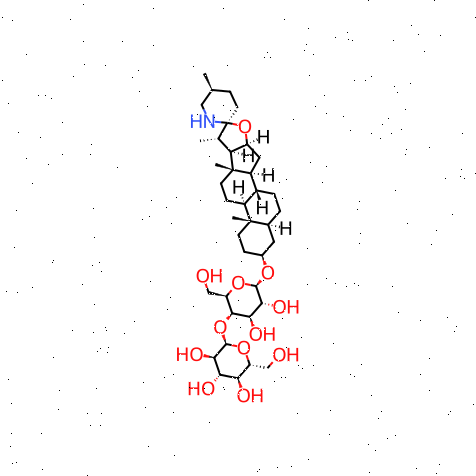 C[C@H]1CC[C@]2(NC1)O[C@H]1C[C@H]3[C@@H]4CC[C@H]5C[C@@H](O[C@@H]6O[C@H](CO)[C@H](O[C@H]7O[C@H](CO)[C@@H](O)[C@H](O)[C@H]7O)[C@H](O)[C@H]6O)CC[C@]5(C)[C@H]4CC[C@]3(C)[C@H]1[C@@H]2C